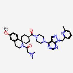 CCOc1ccc2c(c1)CCN(C(=O)CN(C)C)[C@]21CC[C@H](C(=O)N2CCN(c3ncnc4c3cnn4Cc3cccc(C)n3)CC2)CC1